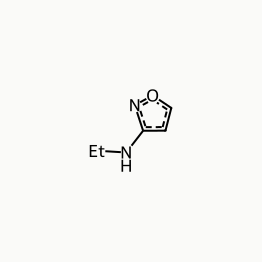 CCNc1ccon1